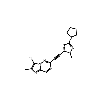 Cc1nc2ccc(C#Cc3nc(N4CCCC4)nn3C)nn2c1Cl